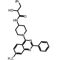 Cc1ccc2c(N3CCC(NC(=O)C(O)CC(C)C)CC3)nc(-c3ccccc3)nc2c1